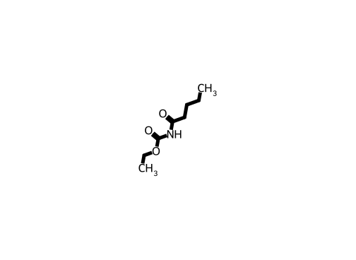 CCCCC(=O)NC(=O)OCC